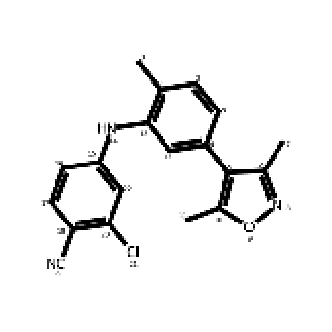 Cc1ccc(-c2c(C)noc2C)cc1Nc1ccc(C#N)c(Cl)c1